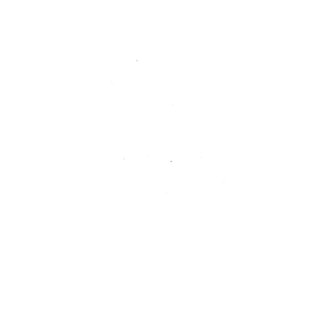 c1ccc2c(c1)OOC2C1OOc2ccccc21